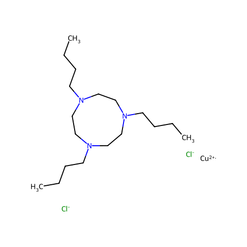 CCCCN1CCN(CCCC)CCN(CCCC)CC1.[Cl-].[Cl-].[Cu+2]